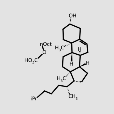 CC(C)CCC[C@@H](C)[C@H]1CC[C@H]2[C@@H]3CC=C4C[C@@H](O)CC[C@]4(C)[C@H]3CC[C@]12C.CCCCCCCCOC(=O)O